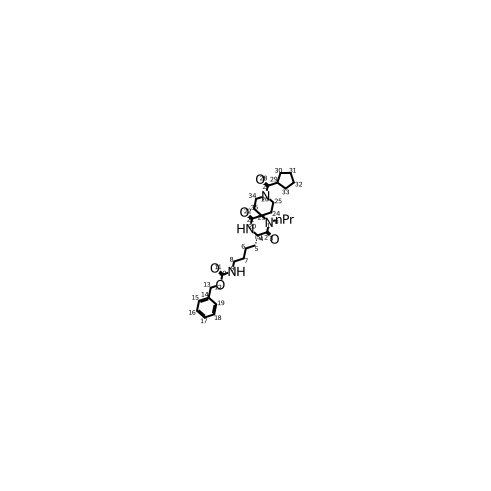 CCCN1C(=O)[C@H](CCCCNC(=O)OCc2ccccc2)NC(=O)C12CCN(C(=O)C1CCCC1)CC2